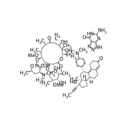 CC#C[C@]1(O)CC[C@H]2[C@@H]3CCC4=CC(=O)CCC4=C3[C@@H](c3ccc(N(C)C)cc3)C[C@@]21C.CC[C@H]1OC(=O)[C@H](C)[C@@H](O[C@H]2C[C@@](C)(OC)[C@@H](O)[C@H](C)O2)[C@H](C)[C@@H](O[C@@H]2O[C@H](C)C[C@H](N(C)C)[C@H]2O)[C@](C)(OC)C[C@@H](C)C(=O)[C@H](C)[C@@H](O)[C@]1(C)O.Nc1nc2[nH]nnc2c(=O)[nH]1